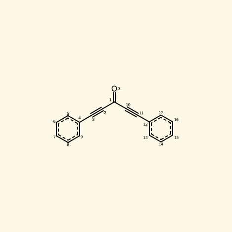 O=C(C#Cc1ccccc1)C#Cc1ccccc1